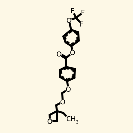 CCC1(COCOc2ccc(C(=O)Oc3ccc(OC(F)(F)F)cc3)cc2)COC1